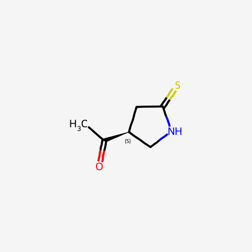 CC(=O)[C@@H]1CNC(=S)C1